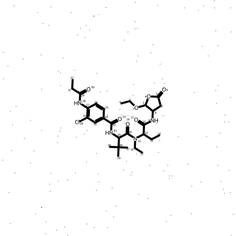 CCOC1OC(=O)CC1NC(=O)C(CC)N(CC)C(=O)C(NC(=O)c1ccc(NC(=O)CC)c(Cl)c1)C(C)(C)C